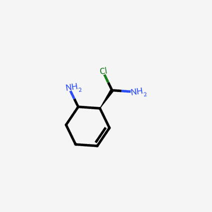 NC(Cl)[C@H]1C=CCCC1N